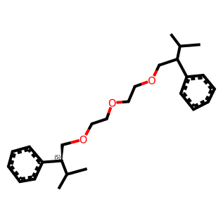 CC(C)C(COCCOCCOC[C@H](c1ccccc1)C(C)C)c1ccccc1